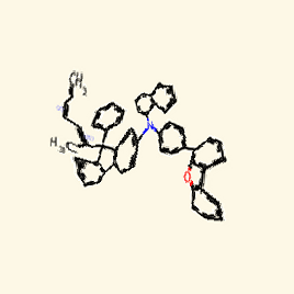 C=C/C=C\C=C(/C)C1(c2ccccc2)c2ccccc2-c2ccc(N(c3ccc(-c4cccc5c4oc4ccccc45)cc3)c3cccc4ccccc34)cc21